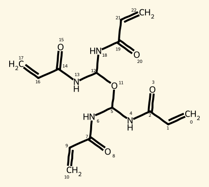 C=CC(=O)NC(NC(=O)C=C)OC(NC(=O)C=C)NC(=O)C=C